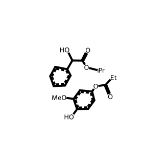 CC(C)OC(=O)C(O)c1ccccc1.CCC(=O)Oc1ccc(O)c(OC)c1